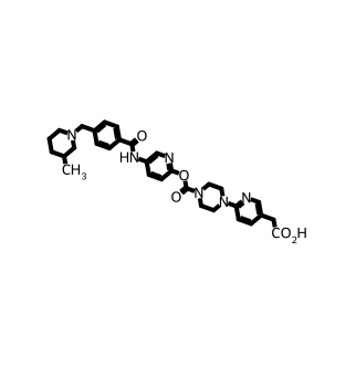 CC1CCCN(Cc2ccc(C(=O)Nc3ccc(OC(=O)N4CCN(c5ccc(CC(=O)O)cn5)CC4)nc3)cc2)C1